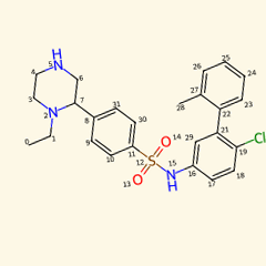 CCN1CCNCC1c1ccc(S(=O)(=O)Nc2ccc(Cl)c(-c3ccccc3C)c2)cc1